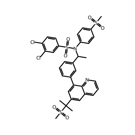 CC(c1cccc(-c2cc(C(C)(C)S(C)(=O)=O)cc3cccnc23)c1)N(c1ccc(S(C)(=O)=O)cc1)S(=O)(=O)c1ccc(Cl)c(Cl)c1